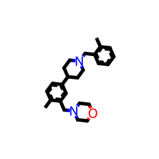 Cc1ccc(C2CCN(Cc3ccccc3C)CC2)cc1CN1CCOCC1